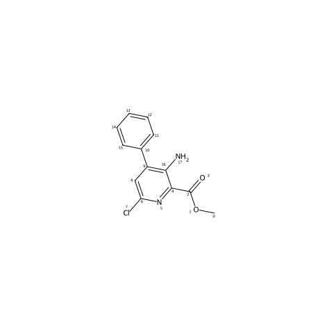 COC(=O)c1nc(Cl)cc(-c2ccccc2)c1N